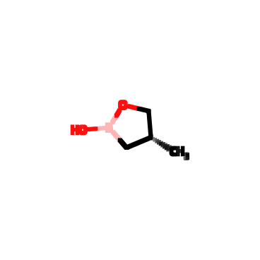 C[C@H]1COB(O)C1